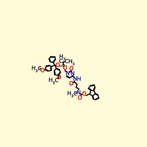 COc1ccc(C(OC[C@@H](OCn2ccc(NC(=O)CCCN(C)C(=O)OCC3c4ccccc4-c4ccccc43)nc2=O)C(C)C)(c2ccccc2)c2ccc(OC)cc2)cc1